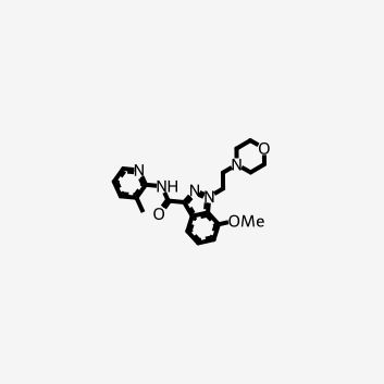 COc1cccc2c(C(=O)Nc3ncccc3C)nn(CCN3CCOCC3)c12